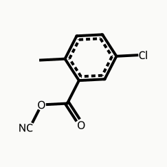 Cc1ccc(Cl)cc1C(=O)OC#N